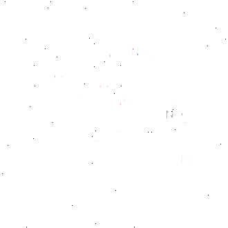 CCC(CC(=O)c1ccccc1C(=O)OCN)[N+](=O)[O-]